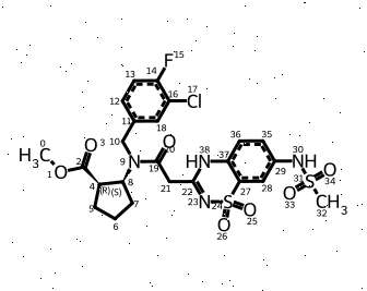 COC(=O)[C@@H]1CCC[C@@H]1N(Cc1ccc(F)c(Cl)c1)C(=O)CC1=NS(=O)(=O)c2cc(NS(C)(=O)=O)ccc2N1